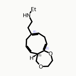 CCNCC/C1=C/C/C=C2/OCCOC[C@@H]2C=CC1